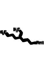 C=CCCC(C=CCCCCCC)=CC